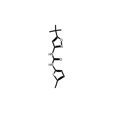 Cc1ccc(NC(=O)Nc2cc(C(C)(C)C)on2)s1